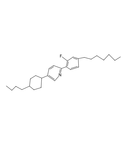 CCCCCCCc1ccc(-c2ccc(C3CCC(CCCC)CC3)cn2)c(F)c1